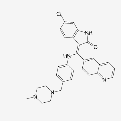 CN1CCN(Cc2ccc(NC(=C3C(=O)Nc4cc(Cl)ccc43)c3ccc4ncccc4c3)cc2)CC1